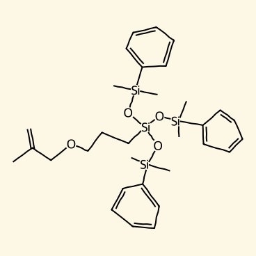 C=C(C)COCCC[Si](O[Si](C)(C)c1ccccc1)(O[Si](C)(C)c1ccccc1)O[Si](C)(C)c1ccccc1